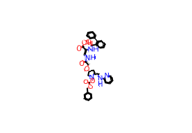 O=C(COC1CC(CNc2ccccn2)N(OC(=O)OCc2ccccc2)C1)NCC(NC(=O)c1ccccc1-c1ccccc1)C(=O)O